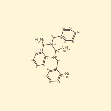 NC1c2ccccc2N(Cc2ccccc2Br)C(N)N1Cc1ccccc1